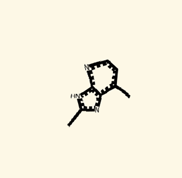 Cc1nc2c(C)ccnc2[nH]1